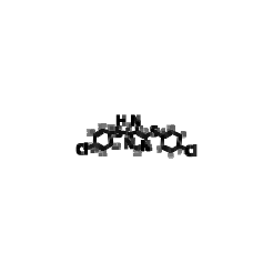 Nc1c(Sc2ccc(Cl)cc2)ncnc1Sc1ccc(Cl)cc1